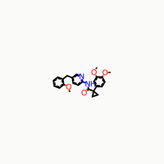 COc1ccccc1Cc1ccc(NC(=O)C2(c3ccc(OC)c(OC)c3)CC2)nc1